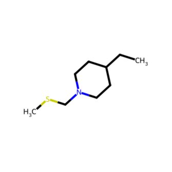 CCC1CCN(CSC)CC1